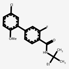 CCC(C)(C)NC(=O)c1ccc(-c2cc(Cl)ccc2OC)cc1F